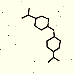 CC(C)C1CCC(CC2CCC(C(C)C)CC2)CC1